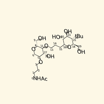 CC(=O)NCCCO[C@H]1CO[C@H](CO)[C@@H](OCCCC2O[C@H](CO)[C@@H](C(C)(C)C)[C@H](O)[C@H]2O)[C@@H]1O